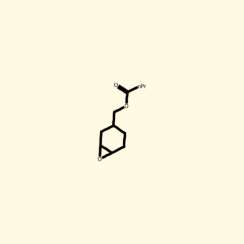 CCCC(=O)OCC1CCC2OC2C1